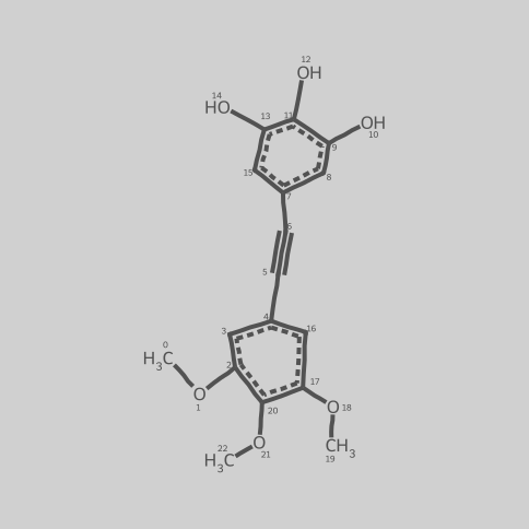 COc1cc(C#Cc2cc(O)c(O)c(O)c2)cc(OC)c1OC